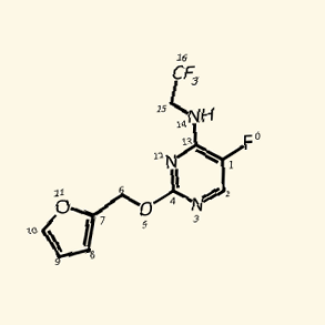 Fc1cnc(OCc2ccco2)nc1NCC(F)(F)F